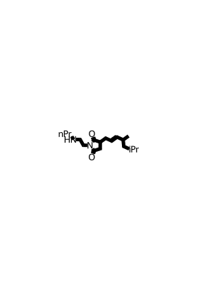 CCCNCCN1C(=O)CC(CC=CC(C)CC(C)C)C1=O